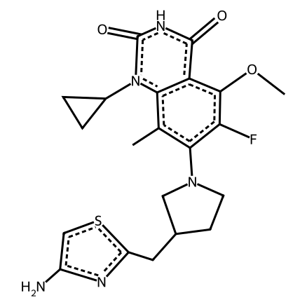 COc1c(F)c(N2CCC(Cc3nc(N)cs3)C2)c(C)c2c1c(=O)[nH]c(=O)n2C1CC1